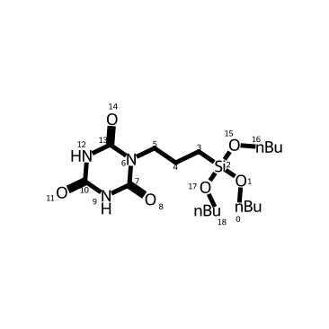 CCCCO[Si](CCCn1c(=O)[nH]c(=O)[nH]c1=O)(OCCCC)OCCCC